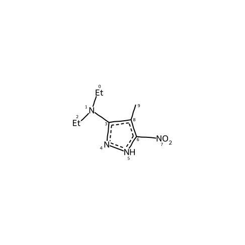 CCN(CC)c1n[nH]c([N+](=O)[O-])c1C